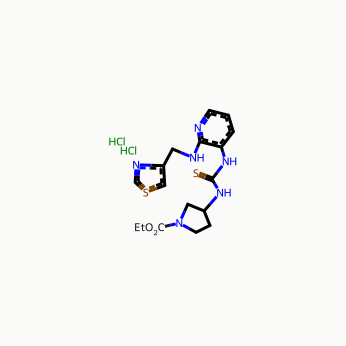 CCOC(=O)N1CCC(NC(=S)Nc2cccnc2NCc2cscn2)C1.Cl.Cl